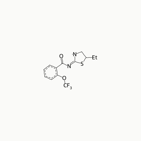 CCC1C[N]C(=NC(=O)c2ccccc2OC(F)(F)F)S1